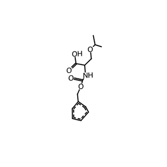 CC(C)OCC(NC(=O)OCc1ccccc1)C(=O)O